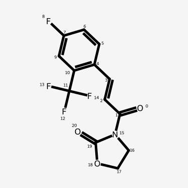 O=C(C=Cc1ccc(F)cc1C(F)(F)F)N1CCOC1=O